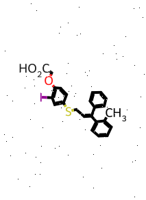 Cc1ccccc1C(=CCSc1ccc(OCC(=O)O)c(I)c1)c1ccccc1